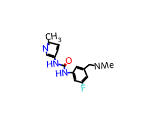 CNCc1cc(F)cc(NC(=O)Nc2ccc(C)nc2)c1